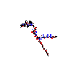 CC[C@H](C)[C@@H]([C@@H](CC(=O)N1CCC[C@H]1[C@H](OC)[C@@H](C)C(=O)N[C@@H](Cc1ccccc1)C(=O)NCCCOC(=O)C(C)NC(=O)CC(NC(=O)CCNC(=O)OCC(NC(=O)CNC(=O)CNC(=O)CNC(=O)CNC(=O)CCNC(=O)CCOCC(C)(C)C)C(=O)NCCOCCOCCOCCOCCOCCOCCOCCOC)C(=O)O)OC)N(C)C(=O)[C@@H](NC(=O)[C@H](C(C)C)N(C)C)C(C)C